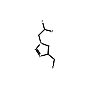 FCC1[C]N(CC(F)F)[C]=N1